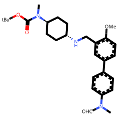 COc1ccc(-c2ccc(N(C)C=O)cc2)cc1CN[C@H]1CC[C@H](N(C)C(=O)OC(C)(C)C)CC1